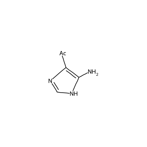 CC(=O)c1nc[nH]c1N